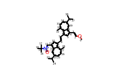 COC=Cc1cc(/C=C/c2cc(/C=[N+](\[O-])C(C)(C)C)c3cc(C(C)C)ccc(C)c2-3)c2c(C)ccc(C(C)C)cc1-2